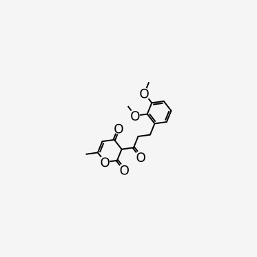 COc1cccc(CCC(=O)C2C(=O)C=C(C)OC2=O)c1OC